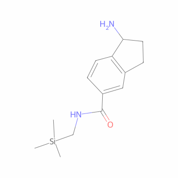 C[Si](C)(C)CNC(=O)c1ccc2c(c1)CCC2N